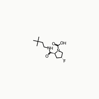 CC(C)(C)CCNC(=O)[C@@H]1C[C@@H](F)CN1C(=O)O